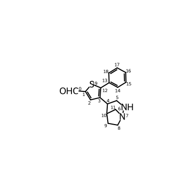 O=Cc1cc(C2CNN3CCC2C3)c(-c2ccccc2)s1